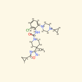 CC1(c2noc(C3CC3)n2)CCN(C(=O)Nc2c(Cl)cccc2N2CCN(C3CC3)CC2)CC1